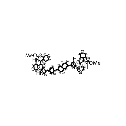 COC(=O)N[C@H](C(=O)N1CCOC[C@H]1c1nc(-c2ccc(-c3ccc4cc(-c5c[nH]c([C@@H]6COCCN6C(=O)[C@@H](NC(=O)OC)C6CCOCC6)n5)ccc4c3)cc2)c[nH]1)C1CCOCC1